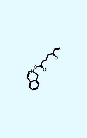 C=CC(=O)CCCC(=O)ON1C=Cc2ccccc2C1